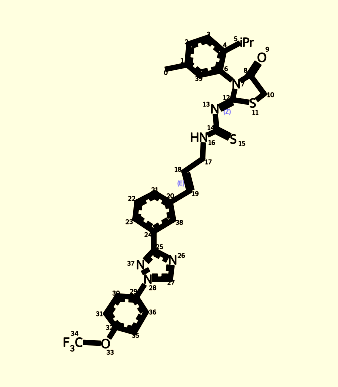 Cc1ccc(C(C)C)c(N2C(=O)CS/C2=N\C(=S)NC/C=C/c2cccc(-c3ncn(-c4ccc(OC(F)(F)F)cc4)n3)c2)c1